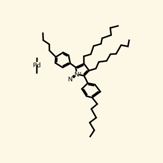 CCCCCCCCC1=C(c2ccc(CCCC)cc2)[N+](=[N-])C(c2ccc(CCCCCC)cc2)=C1CCCCCCCC.[CH3][Pd][CH3]